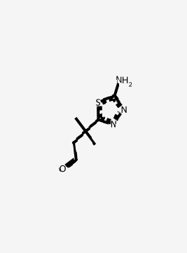 CC(C)(CC=O)c1nnc(N)s1